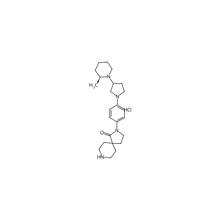 C[C@H]1CCCCN1C1CCN(c2ccc(N3CCC4(CCNCC4)C3=O)cc2)C1.Cl